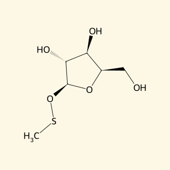 CSO[C@@H]1O[C@H](CO)[C@H](O)[C@H]1O